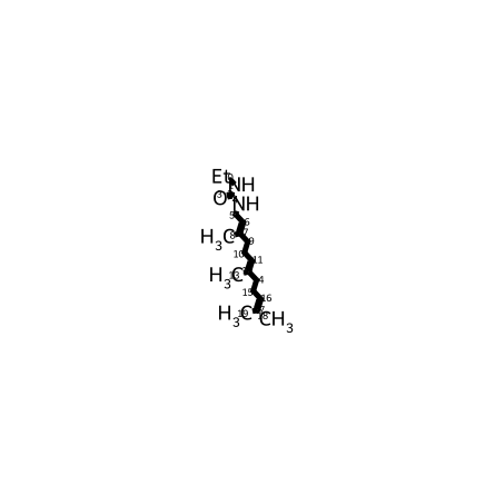 CCNC(=O)NC/C=C(\C)CC/C=C(\C)CCC=C(C)C